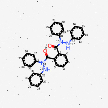 O=C(c1ccccc1C(=O)N(Nc1ccccc1)c1ccccc1)N(Nc1ccccc1)c1ccccc1